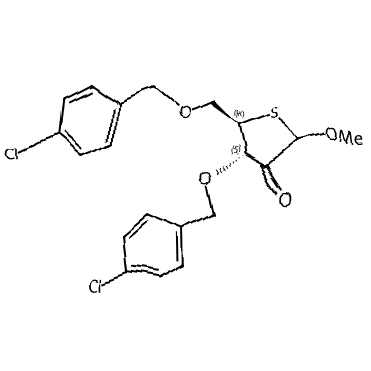 COC1S[C@H](COCc2ccc(Cl)cc2)[C@@H](OCc2ccc(Cl)cc2)C1=O